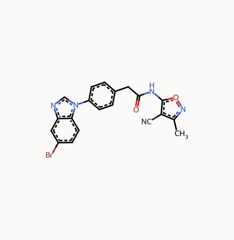 Cc1noc(NC(=O)Cc2ccc(-n3cnc4cc(Br)ccc43)cc2)c1C#N